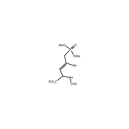 CCOC(=O)C(/C=C(/CP(=O)(OC)OC)C(C)C)NC=O